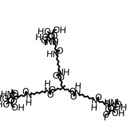 CC(=O)NC1C(OCCCC(=O)NCCCCCCNC(=O)OCCCC(C)(CCCOC(=O)NCCCCCCNC(=O)CCCOC2OC(CO)C(O)C(O)C2NC(C)=O)CCCOC(=O)NCCCCCCNC(=O)CCCOC2OC(COI)C(O)C(O)C2NC(C)=O)OC(CO)C(O)C1O